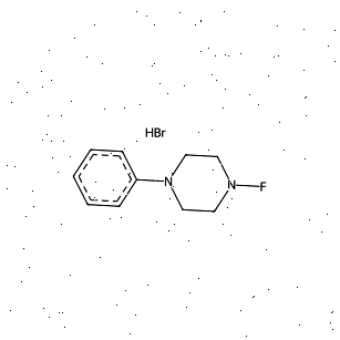 Br.FN1CCN(c2ccccc2)CC1